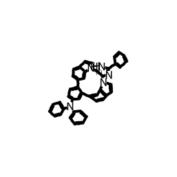 c1ccc(C2=NC3[C@@H](N2)n2ccc4ccc(cc42)-c2ccc(N(c4ccccc4)c4ccccc4)cc2-c2ccc4ccn3c4c2)cc1